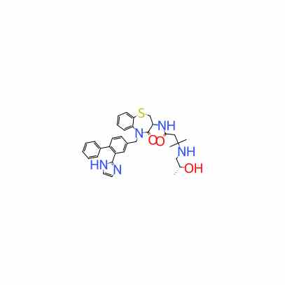 C[C@@H](O)CNC(C)(C)CC(=O)N[C@@H]1CSc2ccccc2N(Cc2ccc(-c3ccccc3)c(-c3ncc[nH]3)c2)C1=O